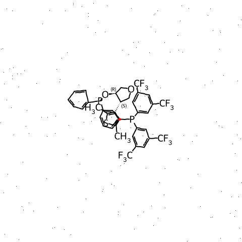 Cc1sc(C)c(P(c2cc(C(F)(F)F)cc(C(F)(F)F)c2)c2cc(C(F)(F)F)cc(C(F)(F)F)c2)c1[C@H]1COC[C@@H]1OP(c1ccccc1)c1ccccc1